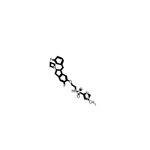 Cn1cnc(S(=O)(=O)NCCOc2cc3c(cc2F)CC(N2CCC2)C3Cc2cccc(F)c2)c1